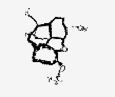 COc1ccc2c3c1OC1[C@@H](O)CCC4[C@@H](C2)NCC[C@]314